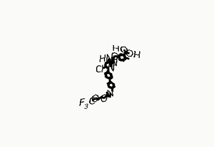 Cc1ccc(Oc2nc3nc(-c4ccc(-c5ccc(CN6CC(OCCOC(F)(F)F)C6)cc5)cc4)c(Cl)cc3[nH]2)cc1C(O)O